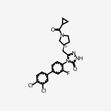 O=C(C1CC1)N1CC[C@@H](Cc2n[nH]c(=O)n2-c2ccc(-c3ccc(Cl)c(Cl)c3)cc2F)C1